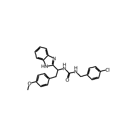 COc1ccc(CC(NC(=O)NCc2ccc(Cl)cc2)c2nc3ccccc3[nH]2)cc1